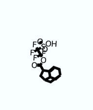 O=C(OC(F)(F)C(F)(F)S(=O)(=O)O)C1CC2CC3CC=C1C2C3